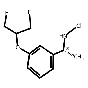 C[C@@H](NCl)c1cccc(OC(CF)CF)c1